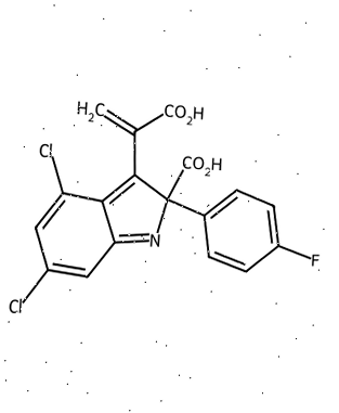 C=C(C(=O)O)C1=c2c(Cl)cc(Cl)cc2=NC1(C(=O)O)c1ccc(F)cc1